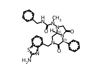 CN(C(=O)NCc1ccccc1)N1CC(=O)N2[C@@H](c3ccccc3)C(=O)N(Cc3cccc4sc(N)nc34)C[C@@H]21